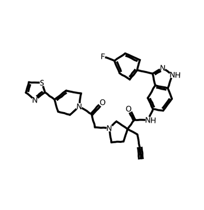 C#CCC1(C(=O)Nc2ccc3[nH]nc(-c4ccc(F)cc4)c3c2)CCN(CC(=O)N2CC=C(c3nccs3)CC2)C1